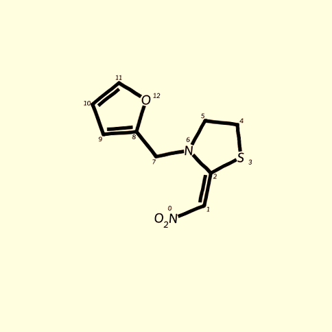 O=[N+]([O-])C=C1SCCN1Cc1ccco1